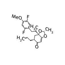 C=CC[C@H]1C[C@]2(C(C)Cc3cc(F)c(OC)cc3F)O[C@H](C)OC2=CC1=O